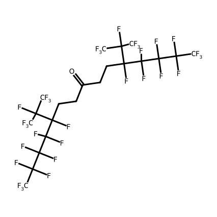 O=C(CCC(F)(C(F)(F)C(F)(F)C(F)(F)C(F)(F)F)C(F)(C(F)(F)F)C(F)(F)F)CCC(F)(C(F)(F)C(F)(F)C(F)(F)C(F)(F)F)C(F)(C(F)(F)F)C(F)(F)F